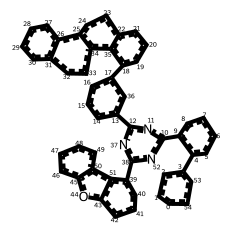 c1ccc(-c2ccccc2-c2nc(-c3cccc(-c4cccc5ccc6c7ccccc7ccc6c45)c3)nc(-c3cccc4oc5ccccc5c34)n2)cc1